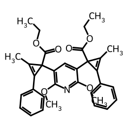 CCOC(=O)C1(c2cc(C3(C(=O)OCC)C(C)=C3c3ccccc3)c(OC)nc2OC)C(C)=C1c1ccccc1